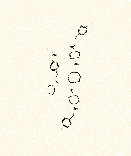 N=C(N)Nc1ccc(CNC(=O)N2CCN(C(=O)O)CC2)cc1.Nc1ccc(CNC(=O)N2CCN(C(=O)O[C@H]3CCC[C@@H](OC(=O)N4CCN(C(=O)NCc5ccc(N)cc5)CC4)CCC3)CC2)cc1